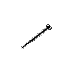 CCCCCCCCCCCCCCCCCCCCCCCCCCCCCCC1COC1=O